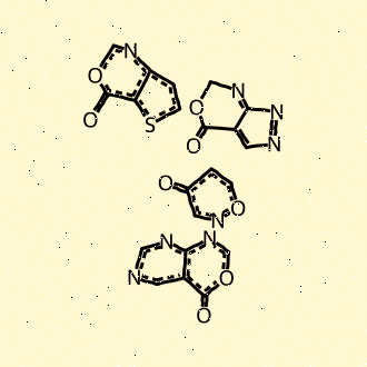 O=C1OCN=C2N=NC=C12.O=c1cconc1.O=c1ocnc2ccsc12.O=c1ocnc2ncncc12